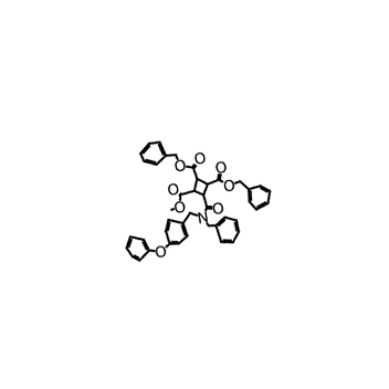 COC(=O)C1C(C(=O)OCc2ccccc2)C(C(=O)OCc2ccccc2)C1C(=O)N(Cc1ccccc1)Cc1ccc(Oc2ccccc2)cc1